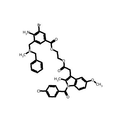 COc1ccc2c(c1)c(CC(=O)OCCOC(=O)c1cc(Br)c(N)c(CN(C)Cc3ccccc3)c1)c(C)n2C(=O)c1ccc(Cl)cc1